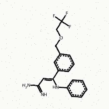 N=C(N)/C=C(\Nc1ccccc1)c1cccc(COCC(F)(F)F)c1